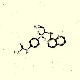 C=CC(Nc1nccc2cccnc12)S(=O)(=O)c1ccc(NC(C)=O)cc1